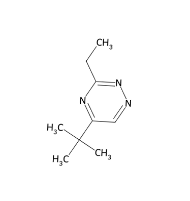 CCc1nncc(C(C)(C)C)n1